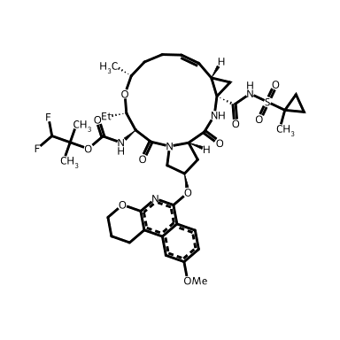 CC[C@@H]1O[C@H](C)CCC=C[C@@H]2C[C@@]2(C(=O)NS(=O)(=O)C2(C)CC2)NC(=O)[C@@H]2C[C@@H](Oc3nc4c(c5cc(OC)ccc35)CCCO4)CN2C(=O)[C@H]1NC(=O)OC(C)(C)C(F)F